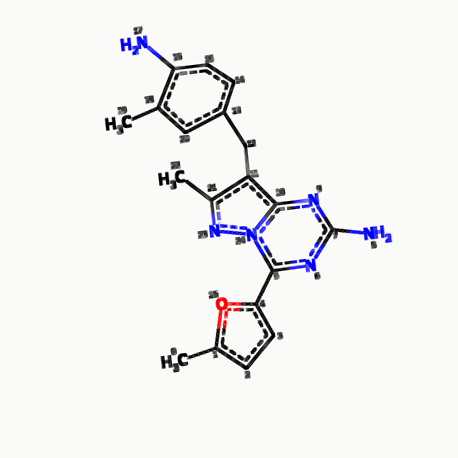 Cc1ccc(-c2nc(N)nc3c(Cc4ccc(N)c(C)c4)c(C)nn23)o1